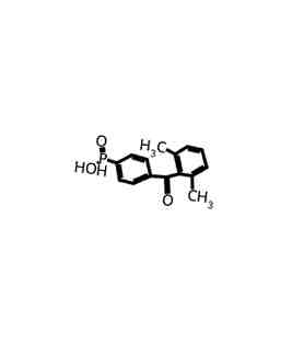 Cc1cccc(C)c1C(=O)c1ccc([PH](=O)O)cc1